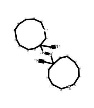 N#CC1(N=NC2(C#N)CCCCCCCCCCC2)CCCCCCCCCCC1